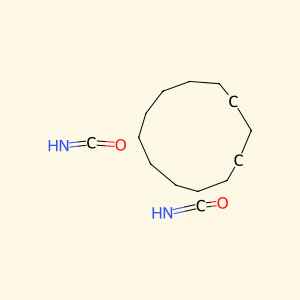 C1CCCCCCCCCCC1.N=C=O.N=C=O